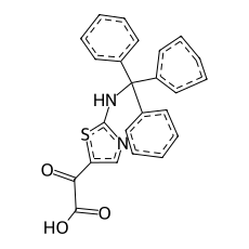 O=C(O)C(=O)c1cnc(NC(c2ccccc2)(c2ccccc2)c2ccccc2)s1